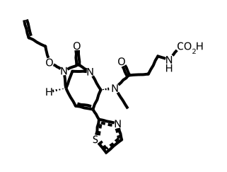 C=CCON1C(=O)N2C[C@H]1C=C(c1nccs1)[C@H]2N(C)C(=O)CCNC(=O)O